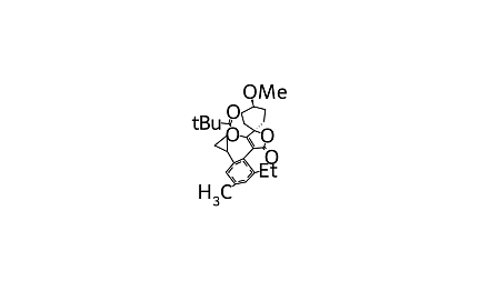 CCc1cc(C)cc(C2CC2)c1C1=C(OC(=O)C(C)(C)C)[C@]2(CC[C@H](OC)CC2)OC1=O